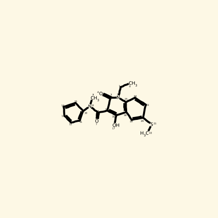 CCn1c(=O)c(C(=O)N(C)c2ccccc2)c(O)c2cc(SC)ccc21